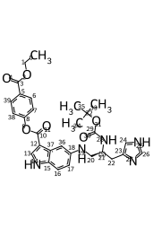 CCOC(=O)c1ccc(OC(=O)c2c[nH]c3ccc(NC[C@H](Cc4c[nH]cn4)NC(=O)OC(C)(C)C)cc23)cc1